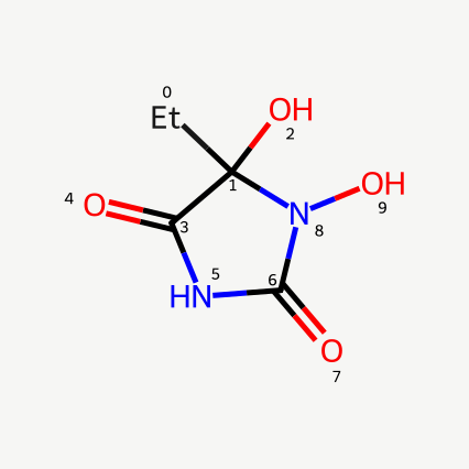 CCC1(O)C(=O)NC(=O)N1O